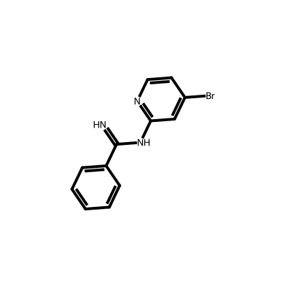 N=C(Nc1cc(Br)ccn1)c1ccccc1